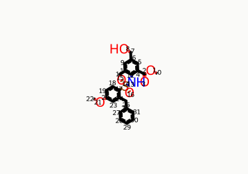 COC(=O)c1cc(CO)cc(C)c1NS(=O)(=O)c1ccc(OC)cc1Cc1ccccc1